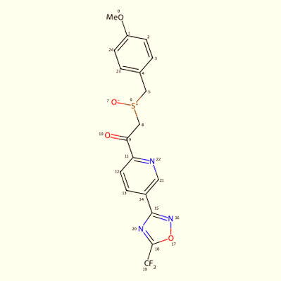 COc1ccc(C[S+]([O-])CC(=O)c2ccc(-c3noc(C(F)(F)F)n3)cn2)cc1